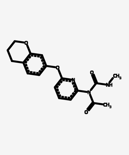 CNC(=O)N(C(C)=O)c1cccc(Oc2ccc3c(c2)OCCC3)n1